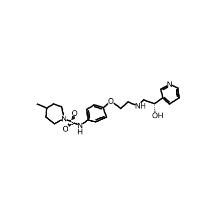 CC1CCN(S(=O)(=O)Nc2ccc(OCCNC[C@@H](O)c3cccnc3)cc2)CC1